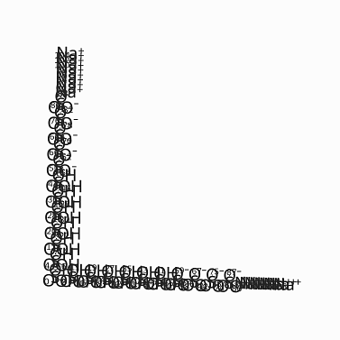 O=S(O)O.O=S(O)O.O=S(O)O.O=S(O)O.O=S(O)O.O=S(O)O.O=S(O)O.O=S(O)O.O=S(O)O.O=S(O)O.O=S(O)O.O=S(O)O.O=S(O)O.O=S([O-])[O-].O=S([O-])[O-].O=S([O-])[O-].O=S([O-])[O-].O=S([O-])[O-].O=S([O-])[O-].O=S([O-])[O-].O=S([O-])[O-].O=S([O-])[O-].[Na+].[Na+].[Na+].[Na+].[Na+].[Na+].[Na+].[Na+].[Na+].[Na+].[Na+].[Na+].[Na+].[Na+].[Na+].[Na+].[Na+].[Na+]